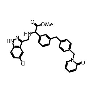 COC(=O)C(NCc1n[nH]c2ccc(Cl)cc12)c1cccc(Cc2ccc(Cn3ccccc3=O)cc2)c1